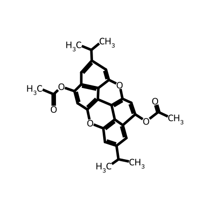 CC(=O)Oc1cc2oc3cc(C(C)C)cc4c(OC(C)=O)cc5oc6cc(C(C)C)cc1c6c2-c5c34